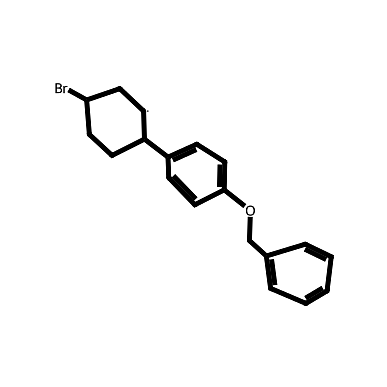 BrC1C[CH]C(c2ccc(OCc3ccccc3)cc2)CC1